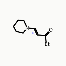 CCC(=O)/C=C/N1CCCCC1